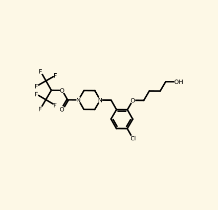 O=C(OC(C(F)(F)F)C(F)(F)F)N1CCN(Cc2ccc(Cl)cc2OCCCCO)CC1